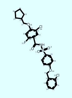 O=C(NS(=O)(=O)c1ccc(OCc2ccccc2Cl)cc1)c1cc(Cl)c(OCC2CCCC2)cc1F